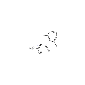 O=C(O)/C(O)=C/C(=O)c1c(F)cccc1F